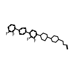 C=CCCC1CCC(C2CCC(c3ccc(-c4ccc(-c5cccc(F)c5F)cc4)c(F)c3F)CC2)CC1